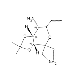 C=CC1OC(C=C)(CN)[C@@H]2OC(C)(C)O[C@@H]2[C@@H]1N